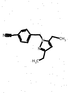 CCc1cc(CC)n(Cc2ccc(C#N)cc2)n1